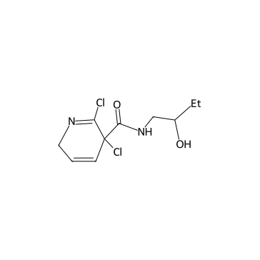 CCC(O)CNC(=O)C1(Cl)C=CCN=C1Cl